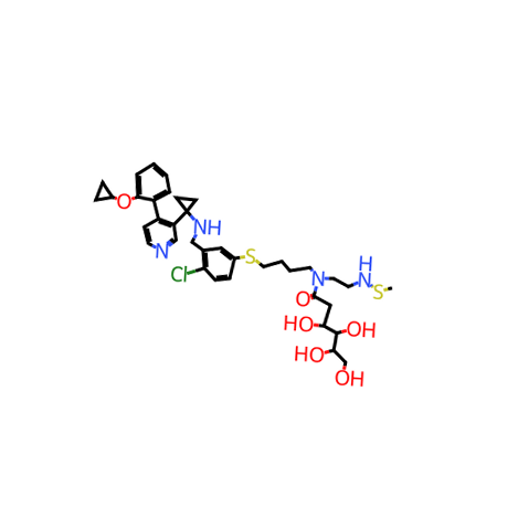 CSNCCN(CCCCSc1ccc(Cl)c(CNC2(c3cnccc3-c3ccccc3OC3CC3)CC2)c1)C(=O)CC(O)C(O)C(O)CO